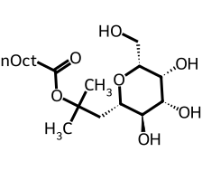 CCCCCCCCC(=O)OC(C)(C)C[C@@H]1O[C@H](CO)[C@H](O)[C@H](O)[C@H]1O